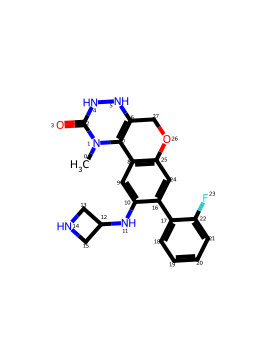 CN1C(=O)NNC2=C1c1cc(NC3CNC3)c(-c3ccccc3F)cc1OC2